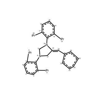 CC(C)c1cccc(C(C)C)c1N1[C]N(c2c(C(C)C)cccc2C(C)C)C(=Cc2ccccc2)C1